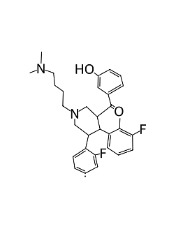 Cc1c(F)cccc1C1C(C(=O)c2cccc(O)c2)CN(CCCCN(C)C)CC1c1cc[c]cc1F